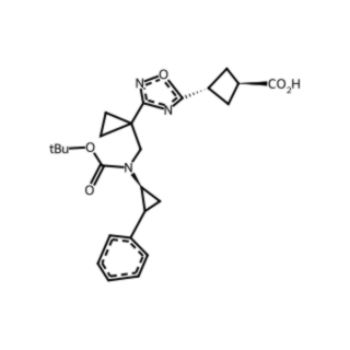 CC(C)(C)OC(=O)N(CC1(c2noc([C@H]3C[C@H](C(=O)O)C3)n2)CC1)[C@H]1CC1c1ccccc1